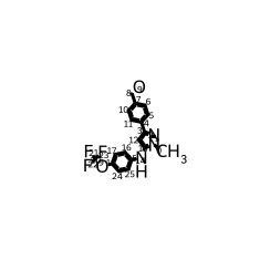 Cn1nc(-c2ccc(C=O)cc2)cc1Nc1ccc(OC(F)(F)F)cc1